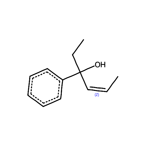 C/C=C\C(O)(CC)c1ccccc1